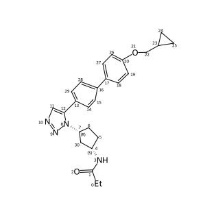 CCC(=O)N[C@H]1CC[C@@H](n2nncc2-c2ccc(-c3ccc(OCC4CC4)cc3)cc2)C1